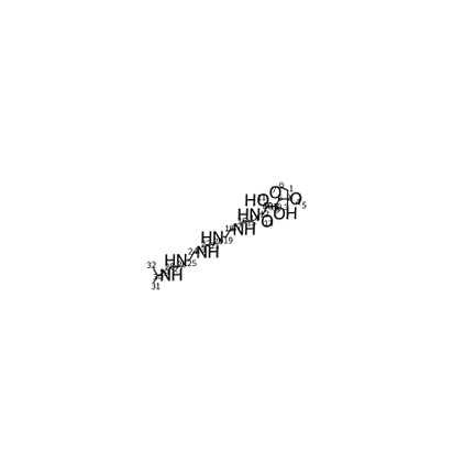 CCC(C)(OC)C(=O)[C@H](O)[C@@H](O)C(=O)NCCNCCNCCNCCNCCNC(C)C